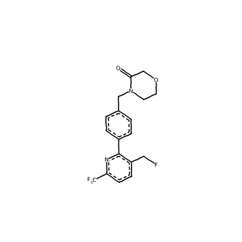 O=C1COCCN1Cc1ccc(-c2nc(C(F)(F)F)ccc2CF)cc1